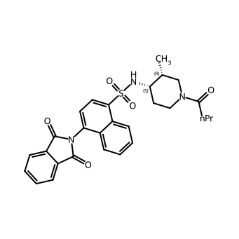 CCCC(=O)N1CC[C@H](NS(=O)(=O)c2ccc(N3C(=O)c4ccccc4C3=O)c3ccccc23)[C@H](C)C1